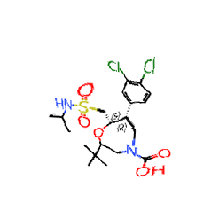 CC(C)NS(=O)(=O)C[C@H]1OC(C(C)(C)C)CN(C(=O)O)C[C@H]1c1ccc(Cl)c(Cl)c1